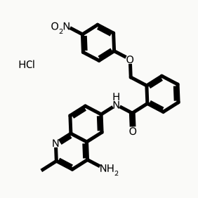 Cc1cc(N)c2cc(NC(=O)c3ccccc3COc3ccc([N+](=O)[O-])cc3)ccc2n1.Cl